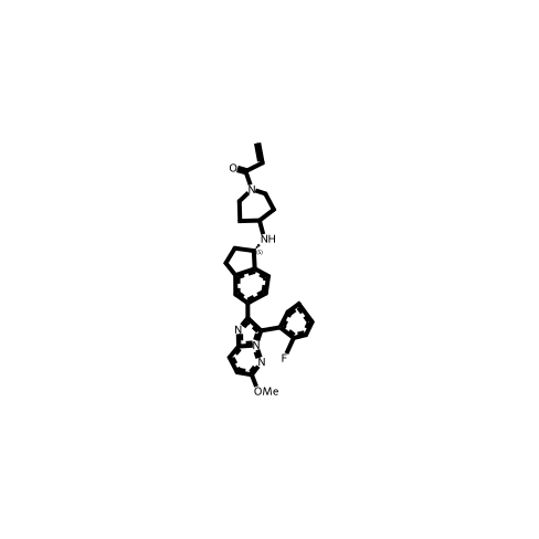 C=CC(=O)N1CCC(N[C@H]2CCc3cc(-c4nc5ccc(OC)nn5c4-c4ccccc4F)ccc32)CC1